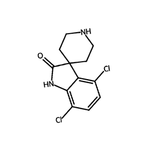 O=C1Nc2c(Cl)ccc(Cl)c2C12CCNCC2